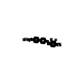 CCCCCCCc1ccc(C2CCC(COc3ccc(C#N)c(F)c3F)CC2)cc1